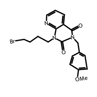 COc1ccc(Cn2c(=O)c3cccnc3n(CCCCBr)c2=O)cc1